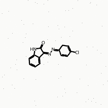 O=C1Nc2ccccc2C1=NN=C1C=CC(Cl)=CC1